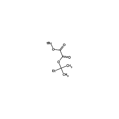 CCC(C)(C)OC(=O)C(=O)OC(C)(C)C